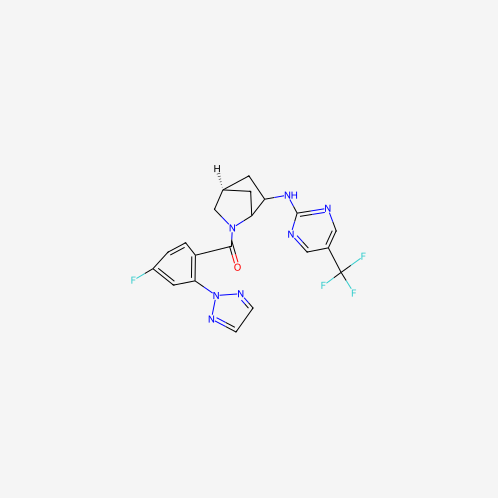 O=C(c1ccc(F)cc1-n1nccn1)N1C[C@H]2CC(Nc3ncc(C(F)(F)F)cn3)C1C2